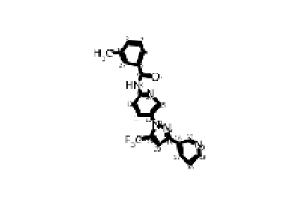 Cc1cccc(C(=O)Nc2ccc(-n3nc(-c4cccnc4)cc3C(F)(F)F)cn2)c1